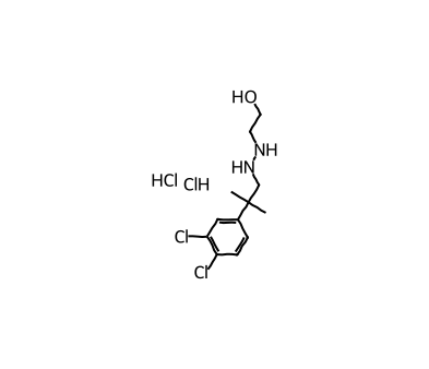 CC(C)(CNNCCO)c1ccc(Cl)c(Cl)c1.Cl.Cl